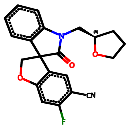 N#Cc1cc2c(cc1F)OCC21C(=O)N(C[C@H]2CCCO2)c2ccccc21